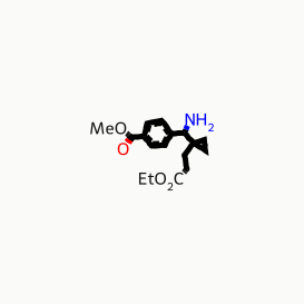 CCOC(=O)CCC1(C(N)c2ccc(C(=O)OC)cc2)CC1